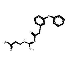 NC(=O)CCNC(N)=NC(=O)Cc1cccc(Oc2ccccc2)c1